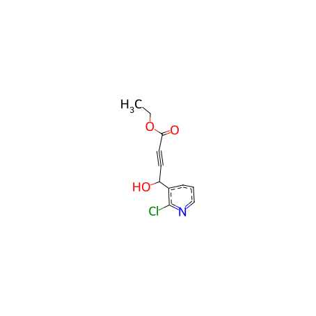 CCOC(=O)C#CC(O)c1cccnc1Cl